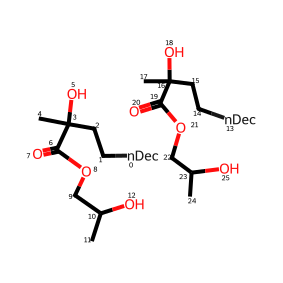 CCCCCCCCCCCCC(C)(O)C(=O)OCC(C)O.CCCCCCCCCCCCC(C)(O)C(=O)OCC(C)O